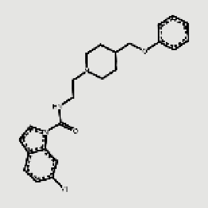 O=C(NCCN1CCC(COc2ccccc2)CC1)n1ccc2ccc(Cl)cc21